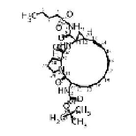 CCCCS(=O)(=O)NC(=O)[C@@]12C[C@H]1/C=C\CCCCCCCC(NC(=O)OC(C)(C)C)C(=O)N1CCC[C@H]1C(=O)N2